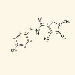 CN1CC(C(=O)NCc2ccc(Cl)cc2)=C(O)C1=O